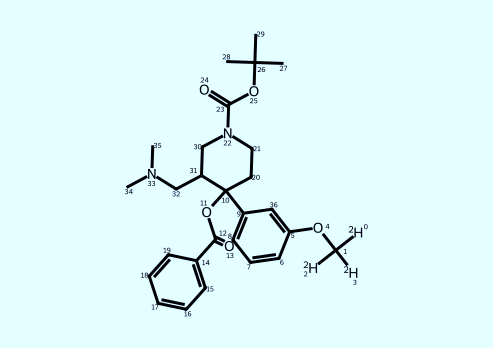 [2H]C([2H])([2H])Oc1cccc(C2(OC(=O)c3ccccc3)CCN(C(=O)OC(C)(C)C)CC2CN(C)C)c1